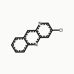 Clc1cnc2cc3ccccc3nc2c1